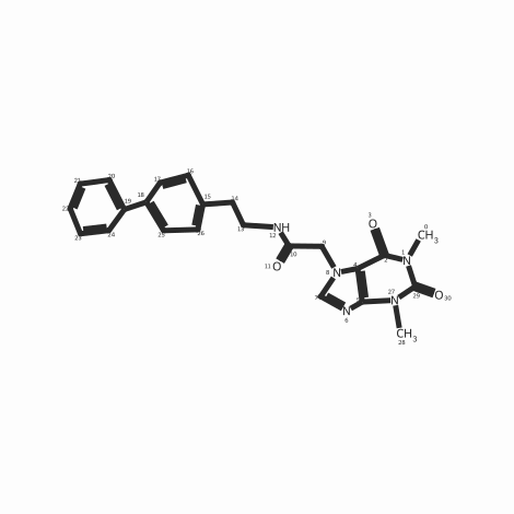 Cn1c(=O)c2c(ncn2CC(=O)NCCc2ccc(-c3ccccc3)cc2)n(C)c1=O